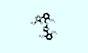 Cc1cccc(-n2nnn(C)c2=O)c1COc1nc(-c2c(C)cccc2C)cs1